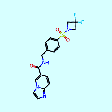 O=C(NCc1ccc(S(=O)(=O)N2CC(F)(F)C2)cc1)c1ccc2nccn2c1